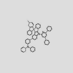 CC1C=CC2=C(C1)c1ccccc1C21c2ccccc2-c2c1c1cc(-c3cccc(N(c4ccccc4)C4C=CC=CC4)c3)ccc1n2-c1cc(-c2ccccc2)cc(-c2ccccc2)n1